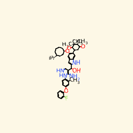 Cc1cc(Oc2ccccc2F)ccc1N/C(N)=C(\C=N)C(O)c1cc2cc(OC3CCCCC(C(C)C)CC3)c(C3CC(=O)C(C)C(C)(C)C3=O)cc2[nH]1